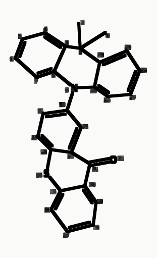 CC1(C)c2ccccc2N(c2ccc3sc4ccccc4c(=O)c3c2)c2ccccc21